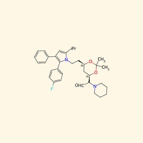 CC(C)c1cc(-c2ccccc2)c(-c2ccc(F)cc2)n1CC[C@@H]1C[C@H](C(C=O)N2CCCCC2)OC(C)(C)O1